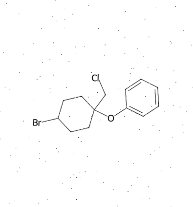 ClCC1(Oc2ccccc2)CCC(Br)CC1